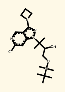 CC(C)(C(O)CO[Si](C)(C)C(C)(C)C)n1nc(N2CCC2)c2cnc(Cl)cc21